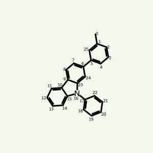 Cc1cccc(-c2ccc3c4ccccc4n(-c4ccccc4)c3c2)c1